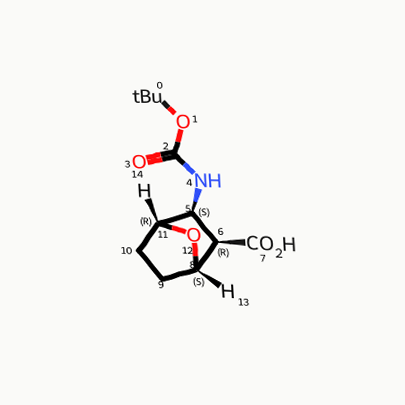 CC(C)(C)OC(=O)N[C@H]1[C@@H](C(=O)O)[C@@H]2CC[C@H]1O2